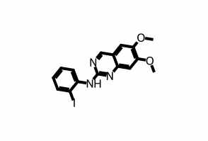 COc1cc2cnc(Nc3ccccc3I)nc2cc1OC